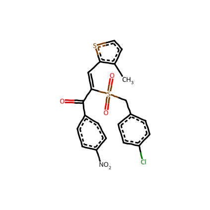 Cc1ccsc1C=C(C(=O)c1ccc([N+](=O)[O-])cc1)S(=O)(=O)Cc1ccc(Cl)cc1